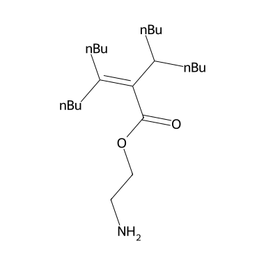 CCCCC(CCCC)=C(C(=O)OCCN)C(CCCC)CCCC